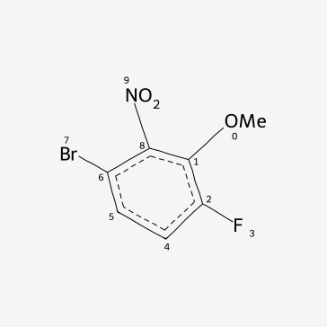 COc1c(F)ccc(Br)c1[N+](=O)[O-]